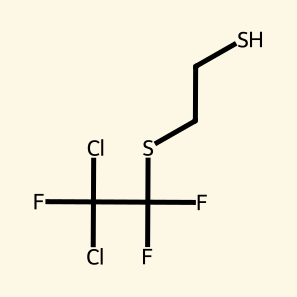 FC(Cl)(Cl)C(F)(F)SCCS